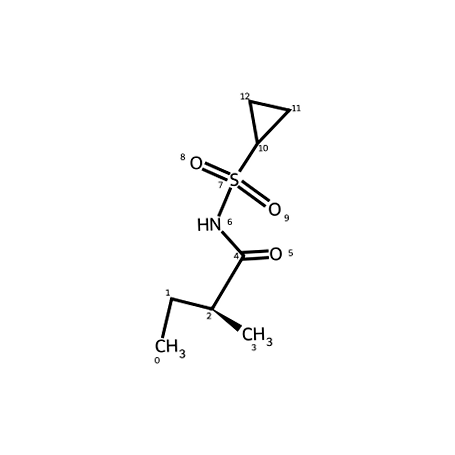 CC[C@H](C)C(=O)NS(=O)(=O)C1CC1